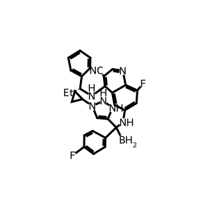 BC(Nc1cc(F)c2ncc(C#N)c(N[C@H](CC)c3ccccc3)c2c1)(C1=CN(C2CC2)NN1)c1ccc(F)cc1